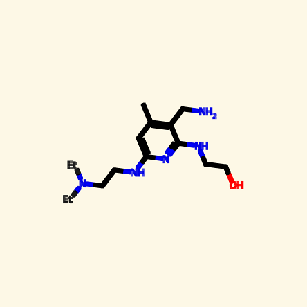 CCN(CC)CCNc1cc(C)c(CN)c(NCCO)n1